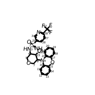 N=S(=O)(NC1COCC(N2c3ccccc3Oc3ccccc32)C1O)c1ccc(C(F)(F)F)nc1